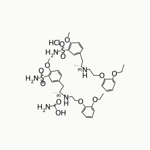 CCOc1ccccc1OCCN[C@H](C)Cc1ccc(OC)c(S(N)(=O)=O)c1.CCOc1ccccc1OCCN[C@H](C)Cc1ccc(OC)c(S(N)(=O)=O)c1.Cl.NC(=O)O